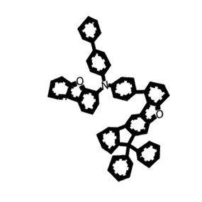 c1ccc(-c2ccc(N(c3ccc(-c4cccc5oc6cc7c(cc6c45)-c4ccccc4C7(c4ccccc4)c4ccccc4)cc3)c3cccc4c3oc3ccccc34)cc2)cc1